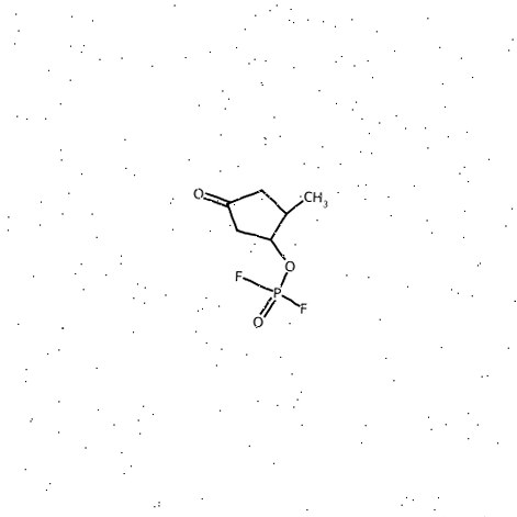 CC1CC(=O)CC1OP(=O)(F)F